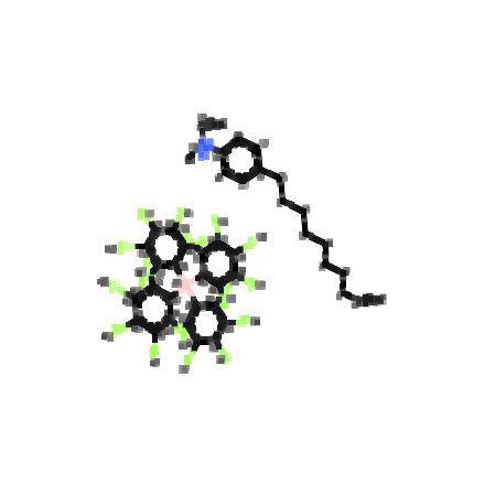 CCCCCCCCCCCCCCCCCCc1ccc([NH+](C)CCCCCCCCCC)cc1.Fc1c(F)c(F)c([B-](c2c(F)c(F)c(F)c(F)c2F)(c2c(F)c(F)c(F)c(F)c2F)c2c(F)c(F)c(F)c(F)c2F)c(F)c1F